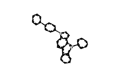 c1ccc(-c2ccc(-n3ccc4c3ccc3c5ccccc5n(-c5ccccc5)c34)cc2)cc1